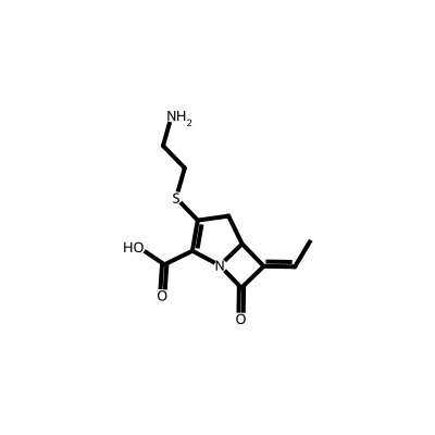 C/C=C1/C(=O)N2C(C(=O)O)=C(SCCN)CC12